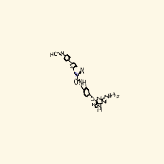 CN(CCO)c1ccc(-c2ccc(/C=C(\C#N)C(=O)NCc3ccc(COc4nc(N)nc5[nH]cnc45)cc3)s2)cc1